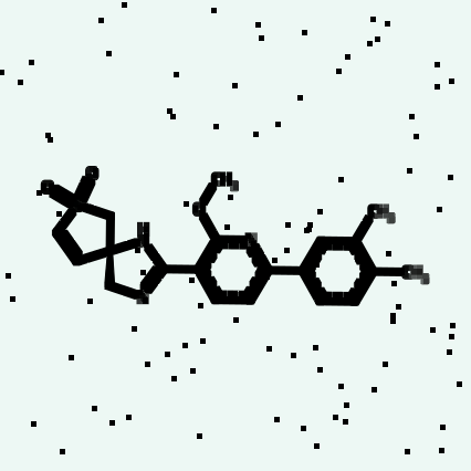 COc1nc(-c2ccc(C)c(C)c2)ccc1C1=NC[C@]2(C=CS(=O)(=O)C2)N1